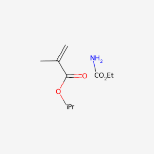 C=C(C)C(=O)OC(C)C.CCOC(N)=O